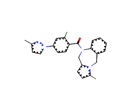 Cc1ccn(-c2ccc(C(=O)N3Cc4ccc(Br)n4Cc4ccccc43)c(Cl)c2)n1